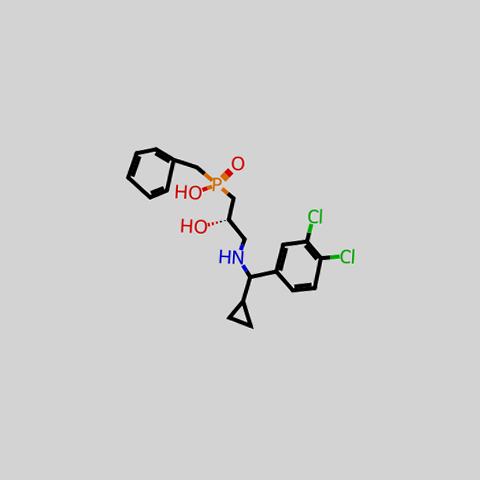 O=P(O)(Cc1ccccc1)C[C@@H](O)CNC(c1ccc(Cl)c(Cl)c1)C1CC1